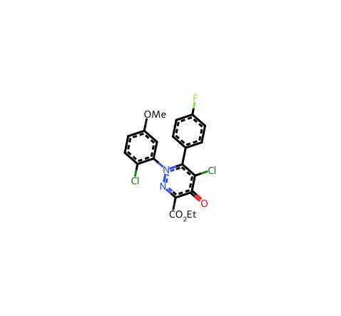 CCOC(=O)c1nn(-c2cc(OC)ccc2Cl)c(-c2ccc(F)cc2)c(Cl)c1=O